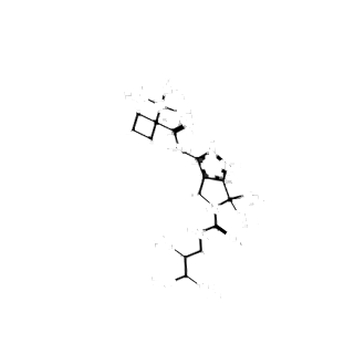 CC(C)C(O)CNC(=O)N1Cc2c(NC(=O)C3([Si](C)(C)C)CCC3)n[nH]c2C1(C)C